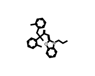 C=C(/C=C1\Oc2ccccc2N1CCC)C(C)(Cc1ccccc1C)c1ccccc1C